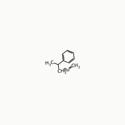 CC(C)c1ccccc1.[CH2]=[Ru]